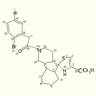 O=C(O)C1=CSC(C2CCCCC2)(C2CCN(C(=O)Cc3cc(Br)ccc3Br)CC2)N1